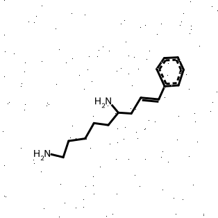 NCCCCCC(N)CC=Cc1ccccc1